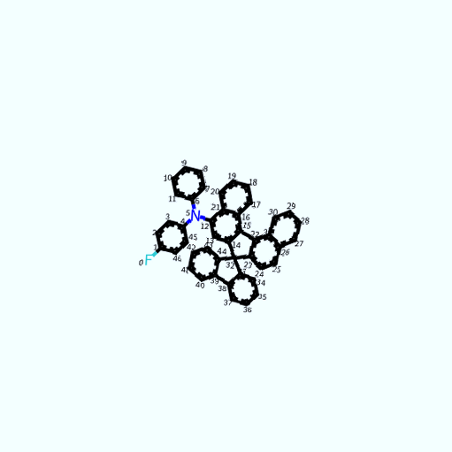 Fc1ccc(N(c2ccccc2)c2cc3c(c4ccccc24)-c2c(ccc4ccccc24)C32c3ccccc3-c3ccccc32)cc1